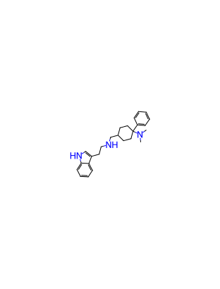 CN(C)C1(c2ccccc2)CCC(CNCCc2c[nH]c3ccccc23)CC1